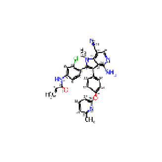 C=CC(=O)Nc1ccc(-c2c(-c3ccc(Oc4cccc(C)n4)cc3)c3c(N)ncc(C#N)c3n2C)c(Cl)c1